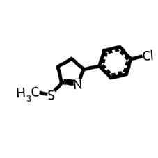 CSC1=NC(c2ccc(Cl)cc2)CC1